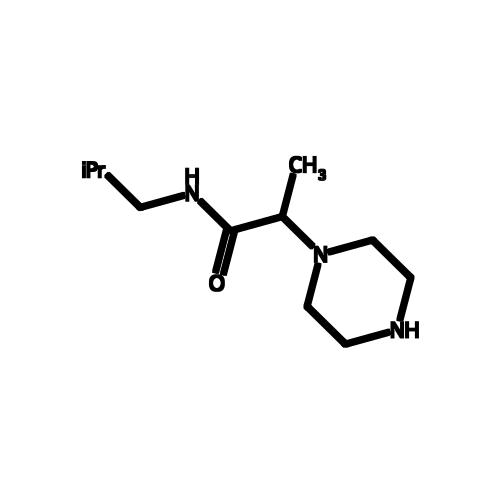 CC(C)CNC(=O)C(C)N1CCNCC1